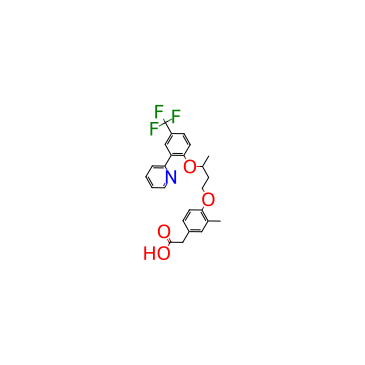 Cc1cc(CC(=O)O)ccc1OCCC(C)Oc1ccc(C(F)(F)F)cc1-c1ccccn1